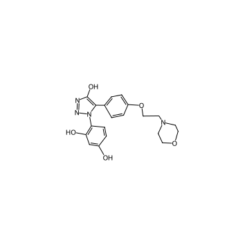 Oc1ccc(-n2nnc(O)c2-c2ccc(OCCN3CCOCC3)cc2)c(O)c1